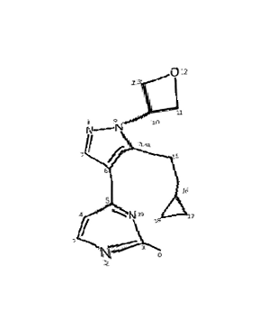 Cc1nccc(-c2cnn(C3COC3)c2CC2CC2)n1